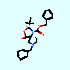 CC(C)(C)[C@H]1OC(=O)[C@@]2(CCN(Cc3ccccc3)C2)N1C(=O)OCc1ccccc1